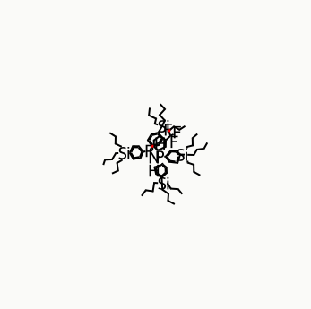 CCCC[Si](CCCC)(CCCC)c1ccc(P(N[PH](c2ccc([Si](CCCC)(CCCC)CCCC)cc2)(c2ccc([Si](CCCC)(CCCC)CCCC)cc2)C2CCCC(C(F)(F)F)C2)c2ccc([Si](CCCC)(CCCC)CCCC)cc2)cc1